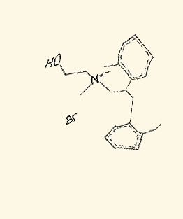 Cc1ccccc1CC(C[N+](C)(C)CCO)c1ccccc1C.[Br-]